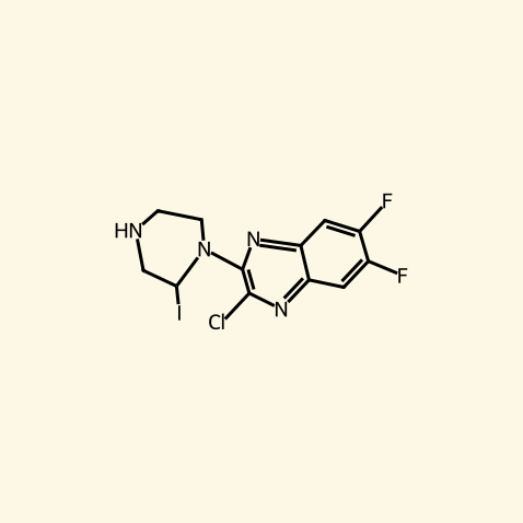 Fc1cc2nc(Cl)c(N3CCNCC3I)nc2cc1F